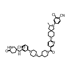 C[C@@H]1CC2(CCN(c3ccc(C(=O)N4CCC(CN5CCN(c6cccc(N[C@]7(C=O)CCC(=O)NC7)c6)CC5)CC4)cn3)CC2)CN1c1ccc(C#N)c(Cl)c1